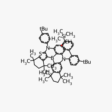 Cc1cc2c3c(c1)N(c1ccc(C(C)(C)C)cc1)c1sc4c(c1B3c1cc3c(cc1N2c1ccc(C(C)(C)C)cc1-c1ccc([Si](C)(C)C)cc1)C(C)(C)CCC3(C)C)C(C)(C)CCC4(C)C